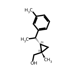 Cc1cccc(C(C)[C@@H]2C[C@]2(C)CO)c1